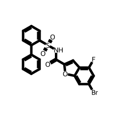 O=C(NS(=O)(=O)c1ccccc1-c1ccccc1)c1cc2c(F)cc(Br)cc2o1